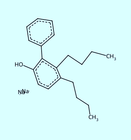 CCCCc1ccc(O)c(-c2ccccc2)c1CCCC.[Na].[Na]